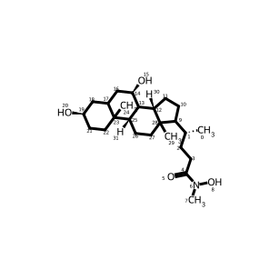 C[C@H](CCC(=O)N(C)O)C1CC[C@H]2C3[C@H](O)CC4C[C@H](O)CCC4(C)[C@H]3CCC12C